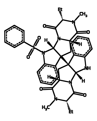 CC[C@H]1C(=O)N2[C@H]3Nc4ccccc4[C@@]3(C34C[C@H]5C(=O)N(C)[C@@H](CC)C(=O)N5[C@H]3N(S(=O)(=O)c3ccccc3)c3ccccc34)C[C@H]2C(=O)N1C